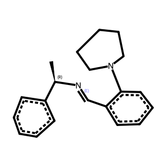 C[C@@H](/N=C/c1ccccc1N1CCCCC1)c1ccccc1